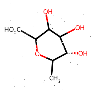 CC1OC(C(=O)O)C(O)C(O)[C@@H]1O